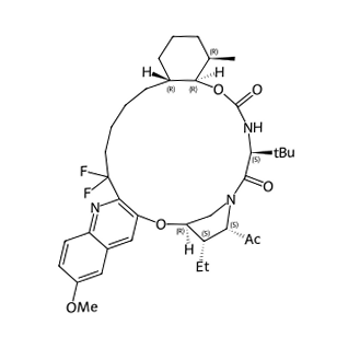 CC[C@@H]1[C@@H]2CN(C(=O)[C@H](C(C)(C)C)NC(=O)O[C@H]3[C@H](CCCCC(F)(F)c4nc5ccc(OC)cc5cc4O2)CCC[C@H]3C)[C@@H]1C(C)=O